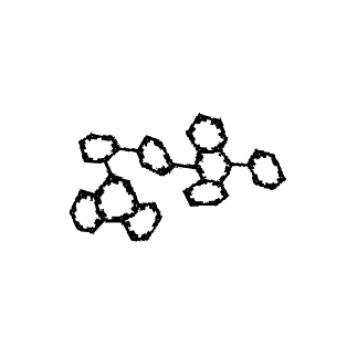 c1ccc(-c2c3ccccc3c(-c3ccc(-c4ccccc4-c4cc5ccccc5c5ccccc45)cc3)c3ccccc23)cc1